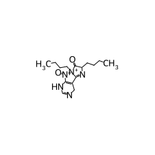 CCCCC1N=C2C3=C(NC=NC3)[N+](=O)[N+]2(CCCC)C1=O